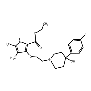 CCOC(=O)c1[nH]c(C)c(C)c1OCCN1CCC(O)(c2ccc(F)cc2)CC1